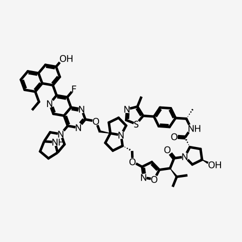 CCc1cccc2cc(O)cc(-c3ncc4c(N5CC6CCC(C5)N6)nc(OC[C@@]56CCCN5[C@H](COc5cc([C@@H](C(=O)N7C[C@H](O)C[C@H]7C(=O)N[C@@H](C)c7ccc(-c8scnc8C)cc7)C(C)C)on5)CC6)nc4c3F)c12